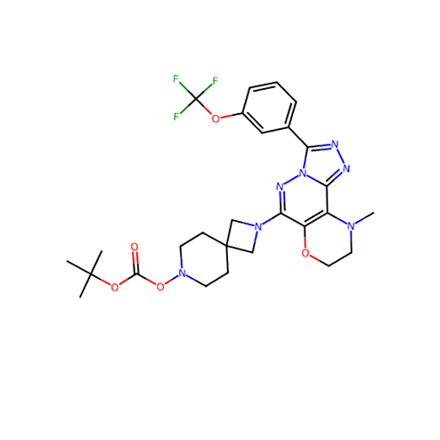 CN1CCOc2c(N3CC4(CCN(OC(=O)OC(C)(C)C)CC4)C3)nn3c(-c4cccc(OC(F)(F)F)c4)nnc3c21